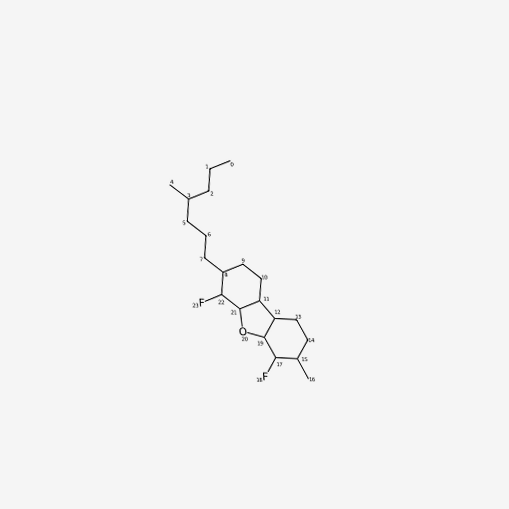 CCCC(C)CCCC1CCC2C3CCC(C)C(F)C3OC2C1F